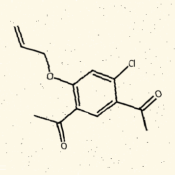 C=CCOc1cc(Cl)c(C(C)=O)cc1C(C)=O